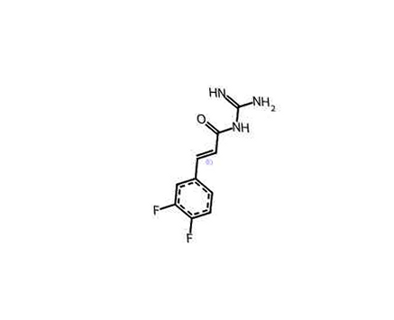 N=C(N)NC(=O)/C=C/c1ccc(F)c(F)c1